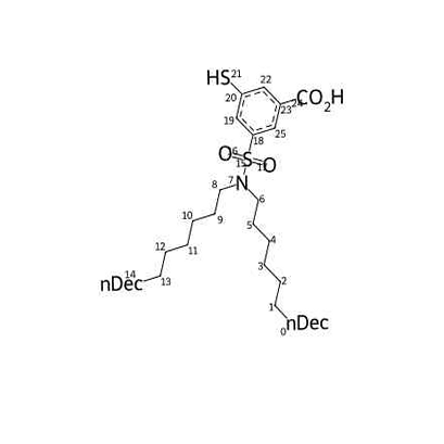 CCCCCCCCCCCCCCCCN(CCCCCCCCCCCCCCCC)S(=O)(=O)c1cc(S)cc(C(=O)O)c1